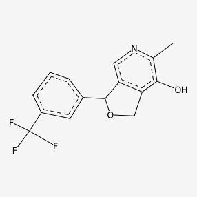 Cc1ncc2c(c1O)COC2c1cccc(C(F)(F)F)c1